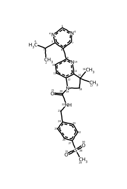 CC(C)c1ncncc1-c1ccc2c(n1)C(C)(C)CN2C(=O)NCc1ccc(S(C)(=O)=O)cc1